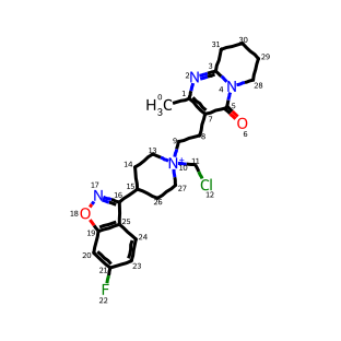 Cc1nc2n(c(=O)c1CC[N+]1(CCl)CCC(c3noc4cc(F)ccc34)CC1)CCCC2